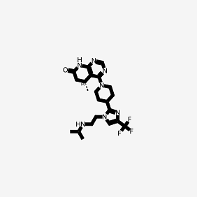 CC(C)NCCn1cc(C(F)(F)F)nc1C1CCN(c2ncnc3c2[C@H](C)CC(=O)N3)CC1